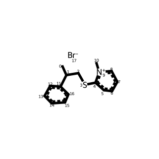 CC(CSc1cccc[n+]1C)c1ccccc1.[Br-]